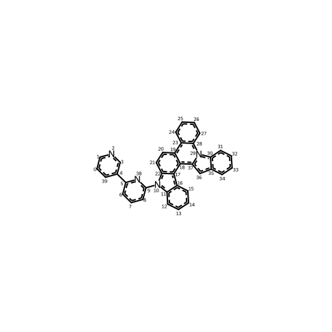 c1cncc(-c2cccc(-n3c4ccccc4c4c5c(ccc43)c3ccccc3n3c4ccccc4cc53)n2)c1